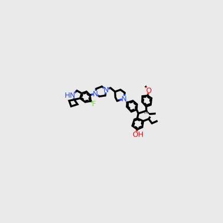 CCC(C)c1cc(O)ccc1C(c1ccc(N2CCC(CN3CCN(c4cc5c(cc4F)C4(CCC4)NC5)CC3)CC2)cc1)[C@H](CC)c1ccc(OC)cc1